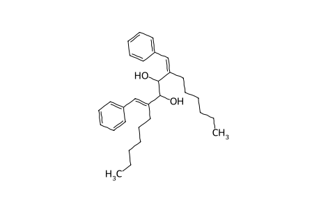 CCCCCCC(=Cc1ccccc1)C(O)C(O)C(=Cc1ccccc1)CCCCCC